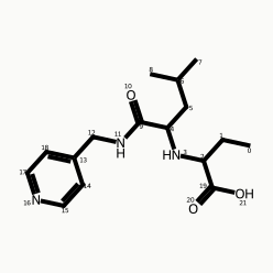 CCC(NC(CC(C)C)C(=O)NCc1ccncc1)C(=O)O